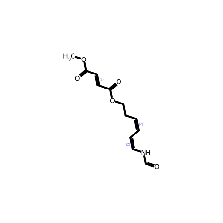 COC(=O)/C=C/C(=O)OCC/C=C\C=C/NC=O